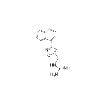 N=C(N)NCc1cc(-c2cccc3ccccc23)no1